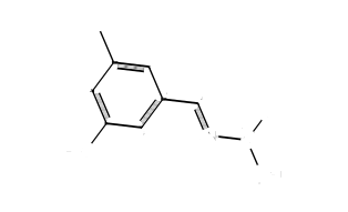 Cc1cc(/C=N/[S+]([O-])C(C)(C)C)cc(C(F)(F)F)c1